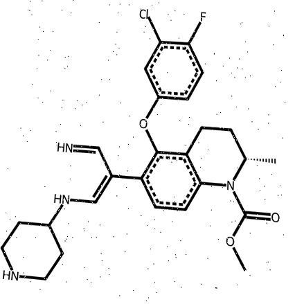 COC(=O)N1c2ccc(/C(C=N)=C/NC3CCNCC3)c(Oc3ccc(F)c(Cl)c3)c2CC[C@@H]1C